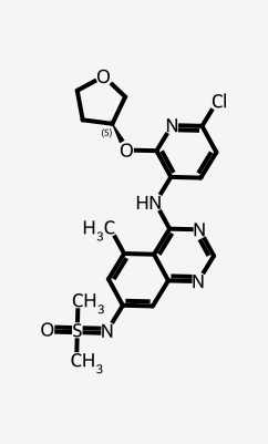 Cc1cc(N=S(C)(C)=O)cc2ncnc(Nc3ccc(Cl)nc3O[C@H]3CCOC3)c12